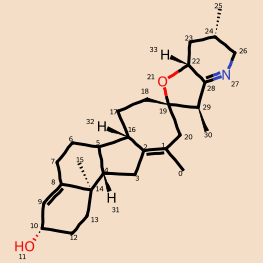 CC1=C2C[C@H]3C(CCC4=C[C@@H](O)CC[C@@]43C)[C@@H]2CC[C@@]2(C1)O[C@@H]1C[C@H](C)CN=C1[C@H]2C